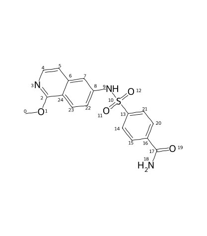 COc1nccc2cc(NS(=O)(=O)c3ccc(C(N)=O)cc3)ccc12